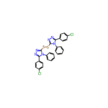 Clc1ccc(-c2nnc(SSc3nnc(-c4ccc(Cl)cc4)n3-c3ccccc3)n2-c2ccccc2)cc1